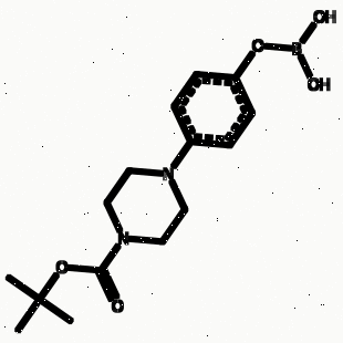 CC(C)(C)OC(=O)N1CCN(c2ccc(OB(O)O)cc2)CC1